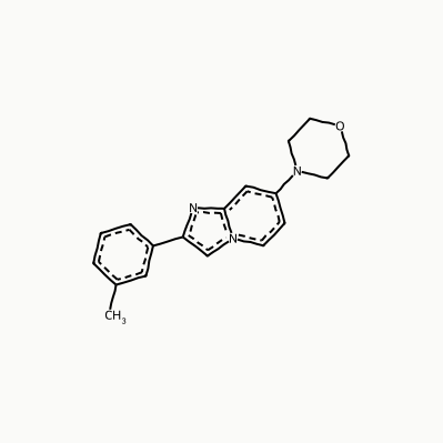 Cc1cccc(-c2cn3ccc(N4CCOCC4)cc3n2)c1